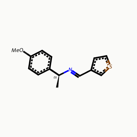 COc1ccc([C@H](C)N=Cc2ccsc2)cc1